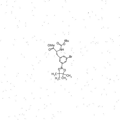 COC(=O)[C@H](Cc1cc(Br)cc(B2OC(C)(C)C(C)(C)O2)c1)NC(=O)OC(C)(C)C